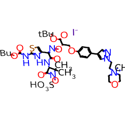 CC(C)(C)OC(=O)Nc1nc(/C(=N/OC(COc2ccc(-c3cnn(CC[N+]4(C)CCOCC4)c3)cc2)C(=O)OC(C)(C)C)C(=O)N[C@@H]2C(=O)N(OS(=O)(=O)O)C2(C)C)cs1.[I-]